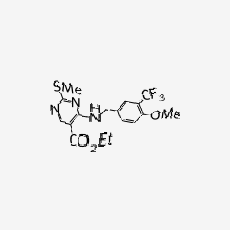 CCOC(=O)c1cnc(SC)nc1NCc1ccc(OC)c(C(F)(F)F)c1